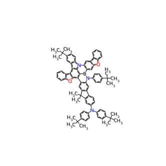 CC(C)(C)c1ccc(N2B3c4cc5oc6ccccc6c5cc4-n4c5ccc(C(C)(C)C)cc5c5c6c(oc7ccccc76)c(c3c54)-c3cc4c(cc32)-c2ccc(N(c3ccc(C(C)(C)C)cc3)c3ccc(C(C)(C)C)cc3)cc2C4(C)C)cc1